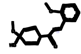 COc1ccccc1/C=C/C(=O)C1C=CC(O)(OC)C=C1